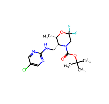 C[C@@H]1OC(F)(F)CN(C(=O)OC(C)(C)C)[C@@H]1CNc1ncc(Cl)cn1